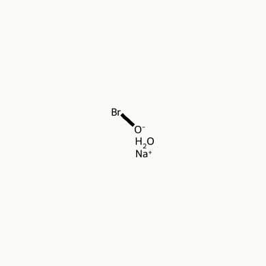 O.[Na+].[O-]Br